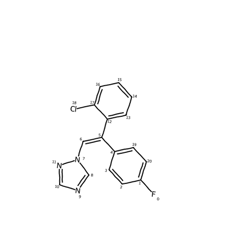 Fc1ccc(/C(=C\n2cncn2)c2ccccc2Cl)cc1